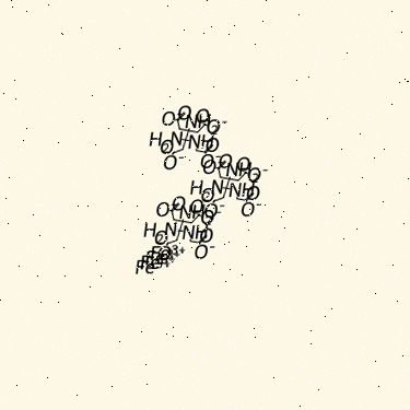 NC(CC(=O)[O-])(CC(=O)[O-])C(N)(CC(=O)[O-])NCC(=O)[O-].NC(CC(=O)[O-])(CC(=O)[O-])C(N)(CC(=O)[O-])NCC(=O)[O-].NC(CC(=O)[O-])(CC(=O)[O-])C(N)(CC(=O)[O-])NCC(=O)[O-].[Fe+3].[Fe+3].[Fe+3].[Fe+3]